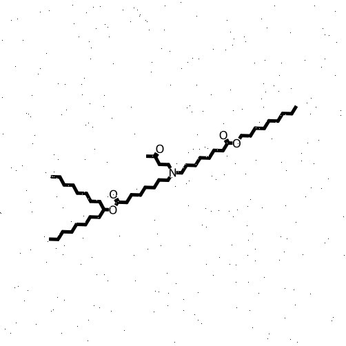 CCCCCCCCCOC(=O)CCCCCCCN(CCCCCCCC(=O)OC(CCCCCCCC)CCCCCCCC)CCC(C)=O